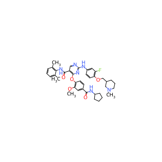 COc1cc(C(=O)NC2CCCC2)ccc1Oc1nc(Nc2ccc(OCC3CCCN(C)C3)c(F)c2)ncc1C(=O)Nc1c(C)cccc1C